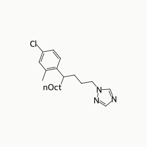 CCCCCCCCC(CCCn1cncn1)c1ccc(Cl)cc1C